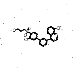 O=S(=O)(CCCO)c1ccc(-c2cccc(-c3ccnc4c(C(F)(F)F)cccc34)c2)cc1Cl